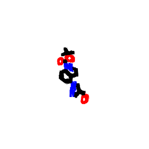 CC(C)(C)OC(=O)N1CCc2c1cccc2-n1cc(C=O)cn1